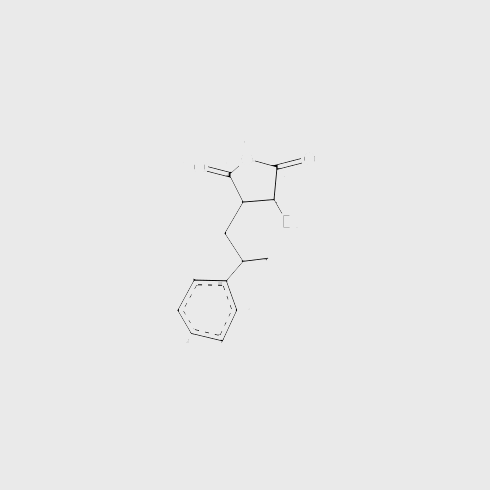 CCC1C(=O)OC(=O)C1CC(C)c1ccccc1